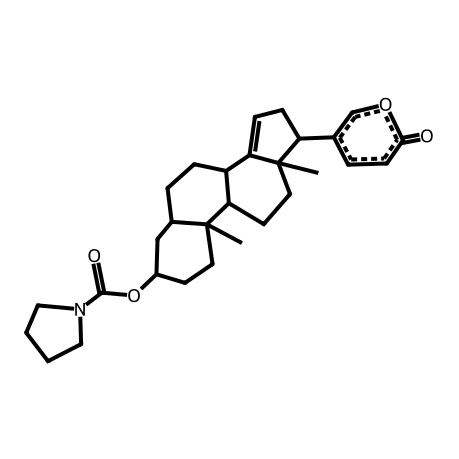 CC12CCC3C(CCC4CC(OC(=O)N5CCCC5)CCC43C)C1=CCC2c1ccc(=O)oc1